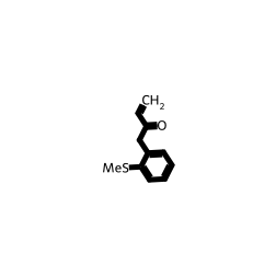 C=CC(=O)Cc1ccccc1SC